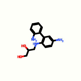 Nc1ccc(NCC(O)CO)c(-c2ccccc2N)c1